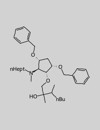 CCCCCCCN(C)[C@@H]1[C@@H](OCC(C)(O)C(C)CCCC)[C@@H](OCc2ccccc2)C[C@H]1OCc1ccccc1